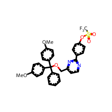 COc1ccc(C(OCc2ccnc(-c3ccc(OS(=O)(=O)C(F)(F)F)cc3)n2)(c2ccccc2)c2ccc(OC)cc2)cc1